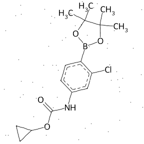 CC1(C)OB(c2ccc(NC(=O)OC3CC3)cc2Cl)OC1(C)C